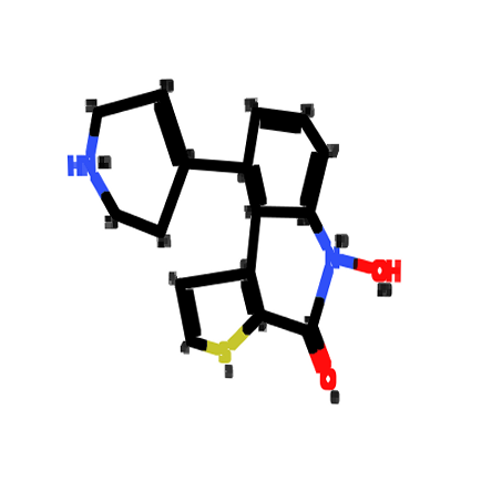 O=c1c2sccc2c2c(C3=CCNCC3)cccc2n1O